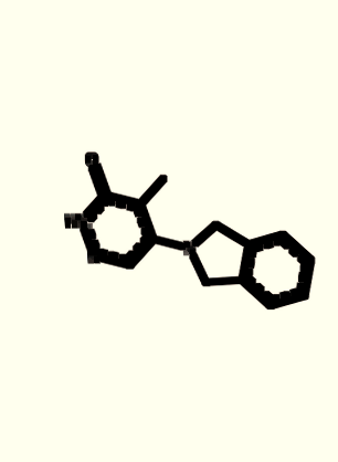 Cc1c(N2Cc3ccccc3C2)cn[nH]c1=O